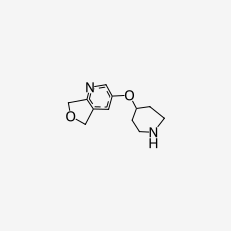 c1nc2c(cc1OC1CCNCC1)COC2